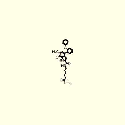 Cn1cc(-c2ccccc2Oc2ccccc2)c2cc(C(=O)NCCCCCC(N)=O)[nH]c2c1=O